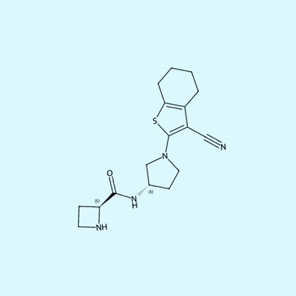 N#Cc1c(N2CC[C@H](NC(=O)[C@@H]3CCN3)C2)sc2c1CCCC2